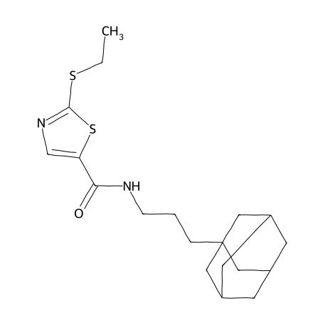 CCSc1ncc(C(=O)NCCCC23CC4CC(CC(C4)C2)C3)s1